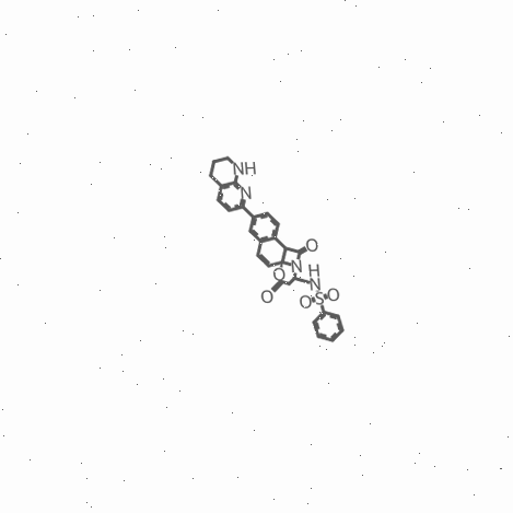 O=C1CC(NS(=O)(=O)c2ccccc2)N2C(=O)C3c4ccc(-c5ccc6c(n5)NCCC6)cc4C=C[C@]32O1